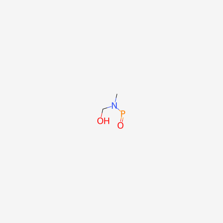 CN(CO)P=O